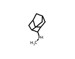 CPC1C2CC3CC(C2)CC1C3